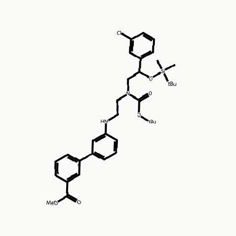 COC(=O)c1cccc(-c2cccc(NCCN(CC(O[Si](C)(C)C(C)(C)C)c3cccc(Cl)c3)C(=O)OC(C)(C)C)c2)c1